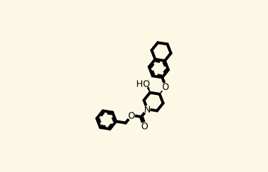 O=C(OCc1ccccc1)N1CC[C@@H](Oc2ccc3c(c2)CCCC3)[C@H](O)C1